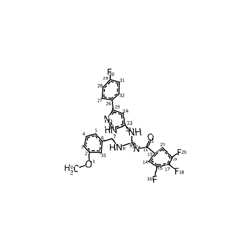 COc1cccc(CN/C(=N/C(=O)c2cc(F)c(F)c(F)c2)Nc2cc(-c3ccc(F)cc3)n[nH]2)c1